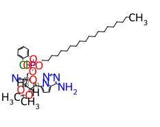 CCCCCCCCCCCCCCCCCCCCOP(=O)(OC[C@@]1(C#N)O[C@@H](c2ccc3c(N)ncnn23)[C@@H]2OC(C)(C)O[C@@H]21)Oc1ccccc1Cl